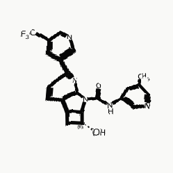 Cc1cncc(NC(=O)N2c3nc(-c4cncc(C(F)(F)F)c4)ccc3C3C[C@@H](O)C32)c1